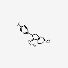 NN=C1c2ccc(Cl)cc2CC1c1ccc(F)cc1